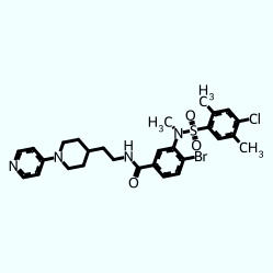 Cc1cc(S(=O)(=O)N(C)c2cc(C(=O)NCCC3CCN(c4ccncc4)CC3)ccc2Br)c(C)cc1Cl